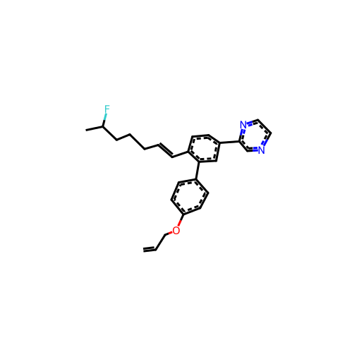 C=CCOc1ccc(-c2cc(-c3cnccn3)ccc2C=CCCCC(C)F)cc1